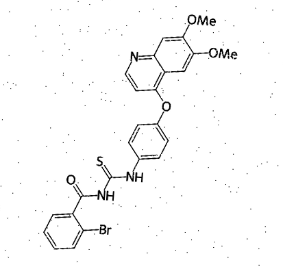 COc1cc2nccc(Oc3ccc(NC(=S)NC(=O)c4ccccc4Br)cc3)c2cc1OC